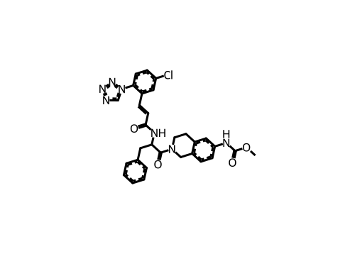 COC(=O)Nc1ccc2c(c1)CCN(C(=O)C(Cc1ccccc1)NC(=O)C=Cc1cc(Cl)ccc1-n1cnnn1)C2